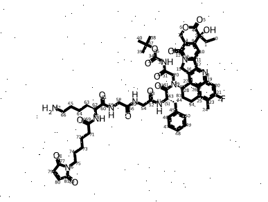 CC[C@@]1(O)C(=O)OCc2c1cc1n(c2=O)Cc2c-1nc1cc(F)c(C)c3c1c2[C@@H](N(CC(=O)NC(=O)OC(C)(C)C)C(=O)[C@H](Cc1ccccc1)NC(=O)CNC(=O)CNC(=O)[C@H](CCCCN)NC(=O)CCCCCN1C(=O)C=CC1=O)CC3